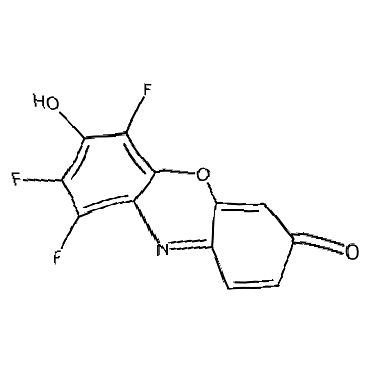 O=c1ccc2nc3c(F)c(F)c(O)c(F)c3oc-2c1